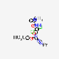 CC(C)N1CCN([C@H]2C[C@@H](CO[C@H]3CC[C@H](C(=O)O)CC3)N(C(=O)Cc3cc(Cl)c(NC(=O)c4cn(C)c5ccccc45)cc3Cl)C2)CC1